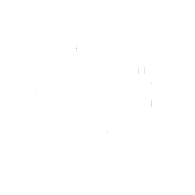 CC(C)(C)c1cc(C(C)(C)C)c2cc(O)c(C(C)(C)C)cc2c1